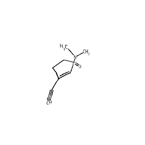 C#CC1=CP(=O)(N(C)C)CC1